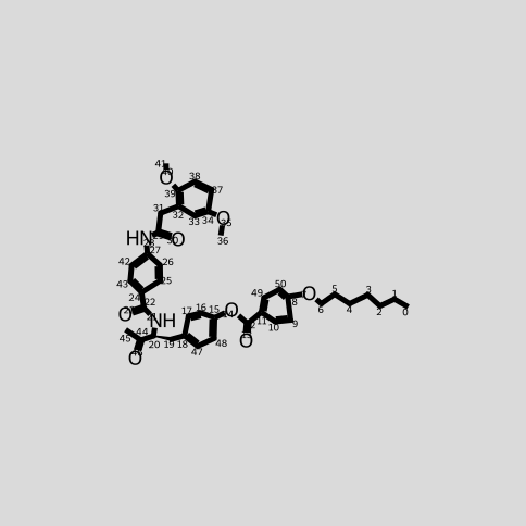 CCCCCCCOc1ccc(C(=O)Oc2ccc(C[C@H](NC(=O)c3ccc(NC(=O)Cc4cc(OC)ccc4OC)cc3)C(C)=O)cc2)cc1